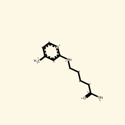 Cc1ccnc(NCCCCC(=O)O)c1